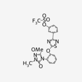 COc1nn(C)c(=O)n1-c1ccccc1Oc1nc(-c2cccc(OS(=O)(=O)C(F)(F)F)c2)ns1